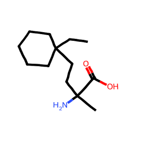 CCC1(CCC(C)(N)C(=O)O)CCCCC1